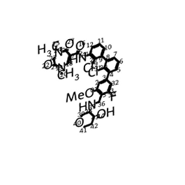 COc1cc(-c2cccc(-c3cccc(NC(=O)C4=CN(C)C5OC5N(C)C4=O)c3Cl)c2Cl)cc(F)c1CN[C@@H]1COCC[C@H]1O